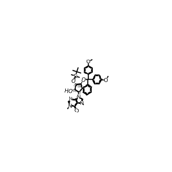 COc1ccc(C(O[C@H]2C[C@@H](n3cnc4c(=O)n(C)cnc43)[C@H](O)[C@@H]2O[Si](C)(C)C(C)(C)C)(c2ccccc2)c2ccc(OC)cc2)cc1